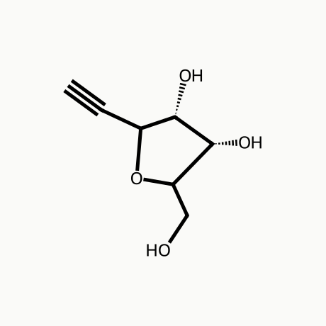 C#CC1OC(CO)[C@@H](O)[C@H]1O